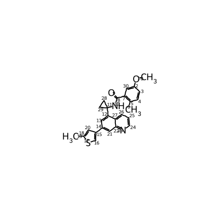 COc1ccc(C)c(C(=O)NC2(c3cc(-c4csc(C)c4)cc4ncccc34)CC2)c1